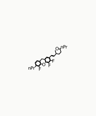 CCCc1ccc2c(c1F)Oc1c(cc(/C=C/C3CCC(CCC)OC3)c(F)c1F)C2